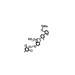 COC/C=C\c1cccnc1-c1ccc(C(CNC(=O)O)Cc2ccc(OCCOc3c(Cl)cc(C)cc3Cl)cc2)c(C)c1